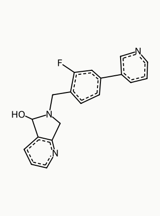 OC1c2cccnc2CN1Cc1ccc(-c2cccnc2)cc1F